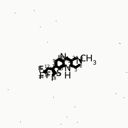 CN1CCC(Nc2cccc3c(CC(F)(F)F)c(I)sc23)C(C#N)C1